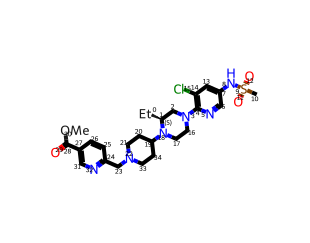 CC[C@H]1CN(c2ncc(NS(C)(=O)=O)cc2Cl)CCN1C1CCN(Cc2ccc(C(=O)OC)cn2)CC1